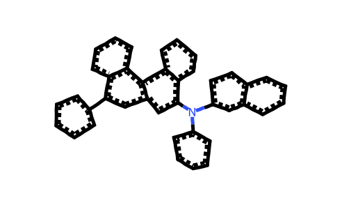 c1ccc(-c2cc3cc(N(c4ccccc4)c4ccc5ccccc5c4)c4ccccc4c3c3ccccc23)cc1